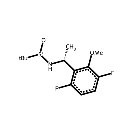 COc1c(F)ccc(F)c1[C@@H](C)N[S+]([O-])C(C)(C)C